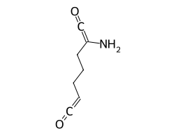 NC(=C=O)CCCC=C=O